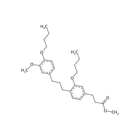 CCCCOc1cc(CCC(=O)OC)ccc1CCCc1ccc(OCCCC)c(OC)c1